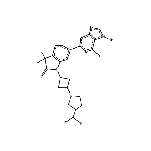 CC(C)n1cnc2cc(-c3ccc4c(c3)N(C3CC(N5CCC(C(F)F)C5)C3)C(=O)C4(C)C)nc(Cl)c21